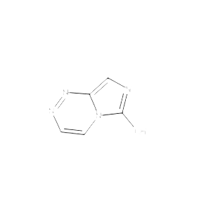 Cc1ncc2nnccn12